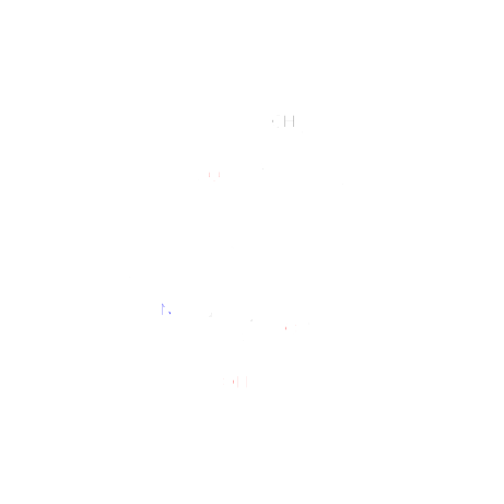 CC(=O)c1ccccc1-c1cccnc1C(=O)O